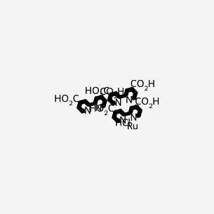 Cl.O=C(O)c1ccnc(-c2cc(C(=O)O)ccn2)c1.O=C(O)c1ccnc(-c2cc(C(=O)O)ccn2)c1.O=C(O)c1ccnc(-c2cc(C(=O)O)ccn2)c1.[Ru]